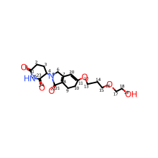 O=C1CCC(N2CC3=C(CCC(OCCCOCCO)=C3)C2=O)C(=O)N1